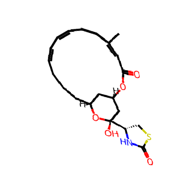 CC1=CC(=O)O[C@@H]2C[C@@H](CCCC=CC=CCC1)O[C@@](O)([C@@H]1CSC(=O)N1)C2